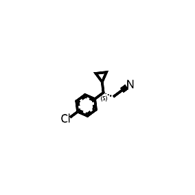 N#CC[C@H](c1ccc(Cl)cc1)C1CC1